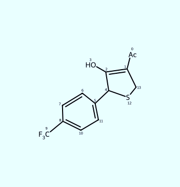 CC(=O)C1=C(O)C(c2ccc(C(F)(F)F)cc2)SC1